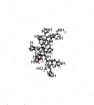 NCC(=O)N[C@@H](CO)C(=O)N[C@@H](Cc1c[nH]cn1)C(=O)N[C@@H](Cc1c[nH]cn1)C(=O)N[C@@H](Cc1c[nH]cn1)C(=O)N[C@@H](Cc1c[nH]cn1)C(=O)N[C@@H](Cc1c[nH]cn1)C(=O)N[C@@H](Cc1c[nH]cn1)C(=O)N[C@@H](Cc1c[nH]cn1)C(=O)N[C@@H](Cc1c[nH]cn1)C(=O)O